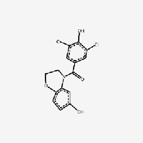 O=C(c1cc(Cl)c(O)c(Cl)c1)N1CCOc2ccc(O)cc21